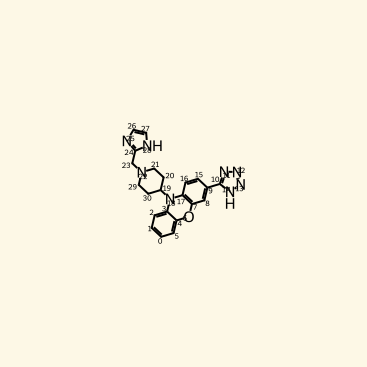 c1ccc2c(c1)Oc1cc(-c3nnn[nH]3)ccc1N2C1CCN(Cc2ncc[nH]2)CC1